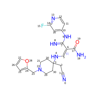 N#CCC1(N/C=C(\C(=N)Nc2ccnc(F)c2)C(N)=O)CCN(Cc2ccco2)CC1